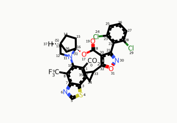 O=C(O)c1cc2scnc2c(C(F)(F)F)c1N1C[C@H]2CC[C@]1(OC(=O)c1c(-c3c(Cl)cccc3Cl)noc1C1CC1)C2